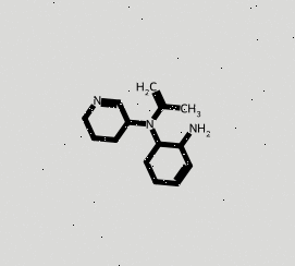 C=C(C)N(C1C=NCCC1)C1CCC=CC1N